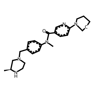 C[C@H]1CN(Cc2ccc(N(C)C(=O)c3ccc(N4CCCCC4)nc3)cc2)CCN1